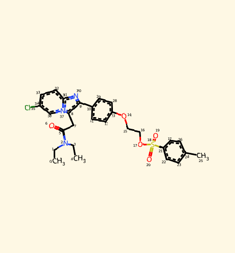 CCN(CC)C(=O)Cc1c(-c2ccc(OCCOS(=O)(=O)c3ccc(C)cc3)cc2)nc2ccc(Cl)cn12